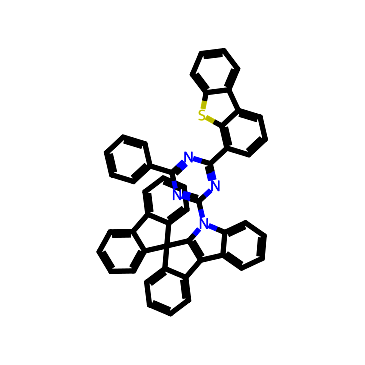 c1ccc(-c2nc(-c3cccc4c3sc3ccccc34)nc(-n3c4c(c5ccccc53)-c3ccccc3C43c4ccccc4-c4ccccc43)n2)cc1